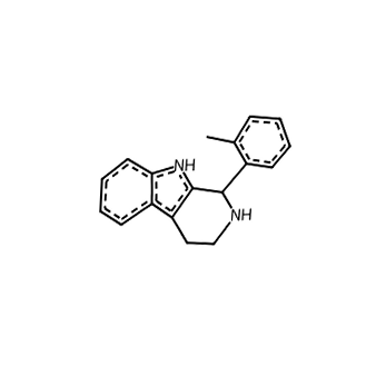 Cc1ccccc1C1NCCc2c1[nH]c1ccccc21